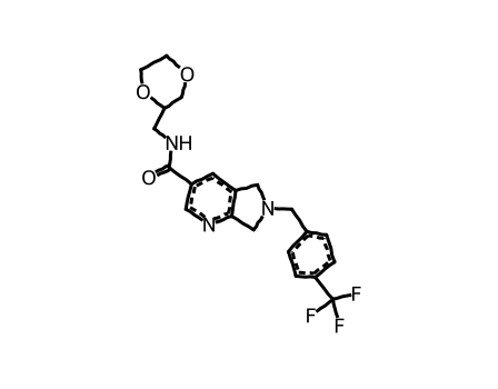 O=C(NCC1COCCO1)c1cnc2c(c1)CN(Cc1ccc(C(F)(F)F)cc1)C2